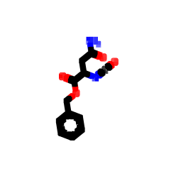 NC(=O)CC(N=C=O)C(=O)OCc1ccccc1